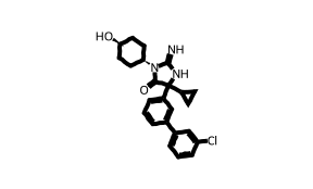 N=C1NC(c2cccc(-c3cccc(Cl)c3)c2)(C2CC2)C(=O)N1[C@H]1CC[C@H](O)CC1